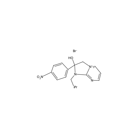 CC(C)CN1c2nccc[n+]2CC1(O)c1ccc([N+](=O)[O-])cc1.[Br-]